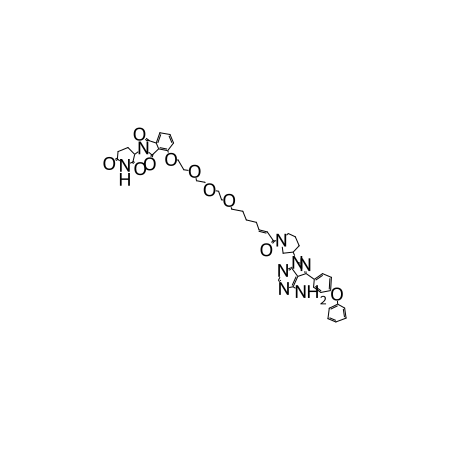 Nc1ncnc2c1c(-c1ccc(Oc3ccccc3)cc1)nn2C1CCCN(C(=O)/C=C/CCCCOCCOCCOCCOc2cccc3c2C(=O)N(C2CCC(=O)NC2=O)C3=O)C1